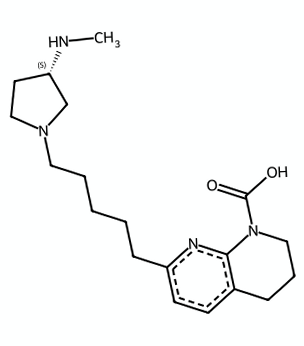 CN[C@H]1CCN(CCCCCc2ccc3c(n2)N(C(=O)O)CCC3)C1